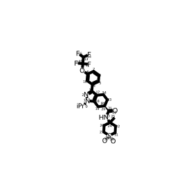 CC(C)n1nc(-c2cccc(OC(F)(F)C(F)F)c2)c2c1C[C@H](C(=O)NC1(C)CCS(=O)(=O)CC1)CC2